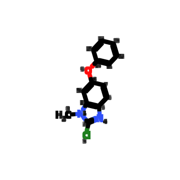 Cn1c(Cl)nc2ccc(Oc3ccccc3)cc21